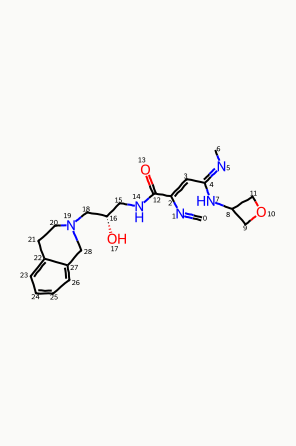 C=N/C(=C\C(=N/C)NC1COC1)C(=O)NC[C@H](O)CN1CCc2ccccc2C1